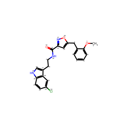 COc1ccccc1Cc1cc(C(=O)NCCc2c[nH]c3ccc(Cl)cc23)no1